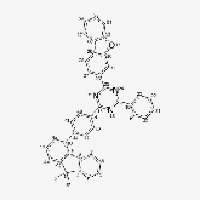 CC1(C)c2ccccc2-c2c(-c3ccc(-c4nc(-c5ccccc5)nc(-c5ccc6c(c5)oc5ccccc56)n4)cc3)cccc21